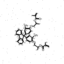 C=C(C)C(=O)OC(C)COc1ccc(C2(c3ccc(OCC(C)OC(=O)C(=C)C)c(CCC)c3)c3ccccc3-c3ccccc32)cc1CCC